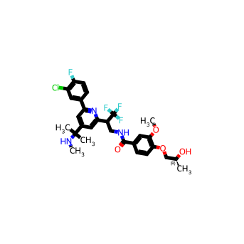 CNC(C)(C)c1cc(-c2ccc(F)c(Cl)c2)nc(C(CNC(=O)c2ccc(OC[C@@H](C)O)c(OC)c2)C(F)(F)F)c1